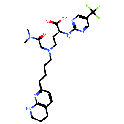 CN(C)C(=O)CN(CCCCc1ccc2c(n1)NCCC2)CC[C@H](Nc1ncc(C(F)(F)F)cn1)C(=O)O